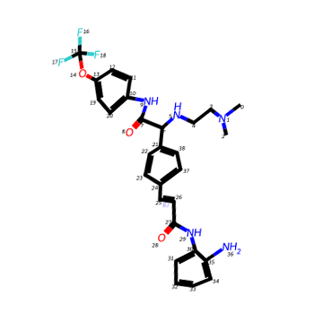 CN(C)CCNC(C(=O)Nc1ccc(OC(F)(F)F)cc1)c1ccc(/C=C/C(=O)Nc2ccccc2N)cc1